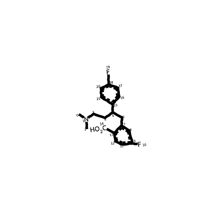 CN(C)CCC(Cc1cc(F)ccc1C(=O)O)c1ccc(F)cc1